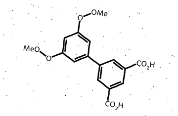 COOc1cc(OOC)cc(-c2cc(C(=O)O)cc(C(=O)O)c2)c1